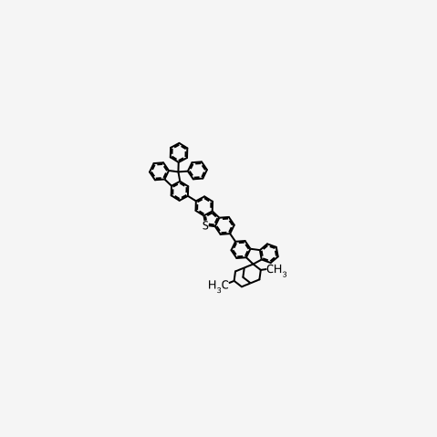 CC1CC2CC(C)C3(c4ccccc4-c4cc(-c5ccc6c(c5)sc5cc(-c7ccc8c(c7)C(c7ccccc7)(c7ccccc7)c7ccccc7-8)ccc56)ccc43)C(C1)C2